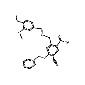 COc1ccc(COCc2nc(OCc3ccccc3)c(C#N)cc2C(=O)O)cc1OC